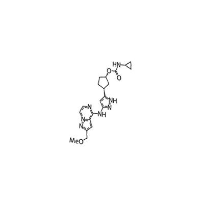 COCc1cc2c(Nc3cc([C@H]4CC[C@@H](OC(=O)NC5CC5)C4)[nH]n3)nccn2n1